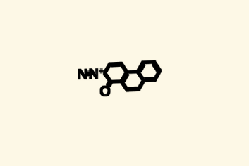 [N-]=[N+]=C1C=Cc2c(ccc3ccccc23)C1=O